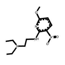 CCN(CC)CCNc1nc(OC)ccc1[N+](=O)[O-]